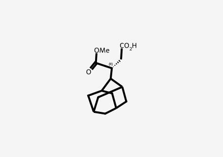 COC(=O)[C@H](CC(=O)O)C1C2CC3CC(C2)CC1C3